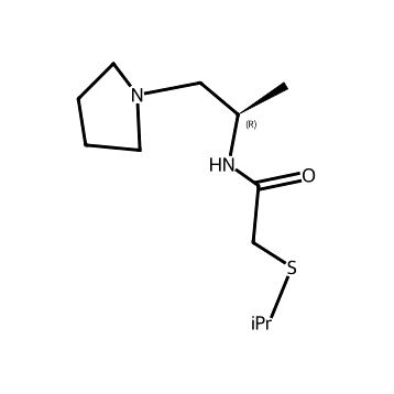 CC(C)SCC(=O)N[C@H](C)CN1CCCC1